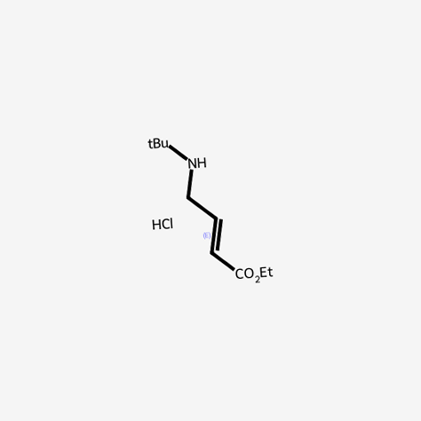 CCOC(=O)/C=C/CNC(C)(C)C.Cl